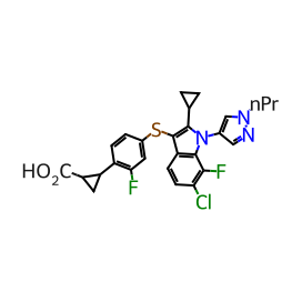 CCCn1cc(-n2c(C3CC3)c(Sc3ccc(C4CC4C(=O)O)c(F)c3)c3ccc(Cl)c(F)c32)cn1